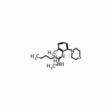 CCCCN/C(=N\c1c(C)cccc1N1CCSCC1)NC